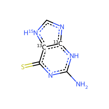 Nc1nc(=S)[13c]2[15nH]cn[13c]2[nH]1